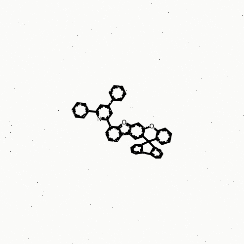 c1ccc(-c2cc(-c3ccccc3)nc(-c3cccc4c3oc3cc5c(cc34)C3(c4ccccc4O5)c4ccccc4-c4ccccc43)c2)cc1